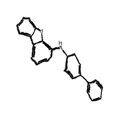 C1=CC(Nc2cccc3c2oc2ccccc23)CC=C1c1ccccc1